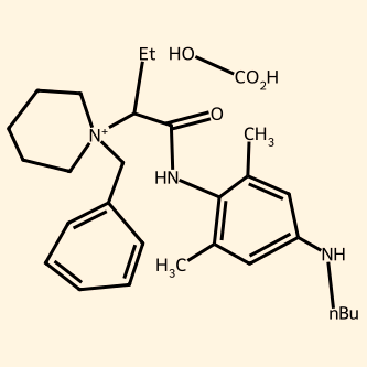 CCCCNc1cc(C)c(NC(=O)C(CC)[N+]2(Cc3ccccc3)CCCCC2)c(C)c1.O=C(O)O